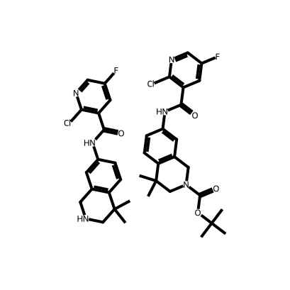 CC(C)(C)OC(=O)N1Cc2cc(NC(=O)c3cc(F)cnc3Cl)ccc2C(C)(C)C1.CC1(C)CNCc2cc(NC(=O)c3cc(F)cnc3Cl)ccc21